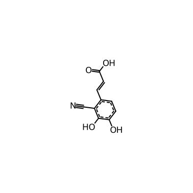 N#Cc1c(C=CC(=O)O)ccc(O)c1O